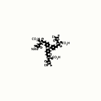 CCN1C(=O)/C(=c2\s/c(=C\c3ccc(N(c4ccc(/C=c5\s/c(=C6/SC(=S)C(NC)C6=O)n(CC(=O)O)c5=O)cc4)c4ccc(/C=c5/s/c(=C6/SC(=S)N(CC)C6=O)n(CC(=O)O)c5=O)cc4)cc3)c(=O)n2CC(=O)O)SC1=S